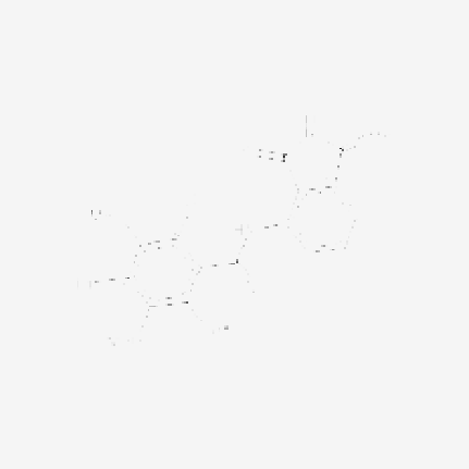 COc1c(OC)c(C(C)C)c(OC)c(O)c1C(=O)Nc1cccc2c1C(=O)NC2=O